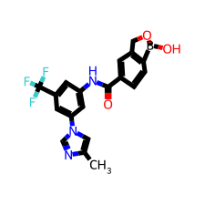 Cc1cn(-c2cc(NC(=O)c3ccc4c(c3)COB4O)cc(C(F)(F)F)c2)cn1